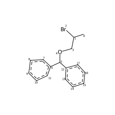 CC(Br)COC(c1ccccc1)c1ccccc1